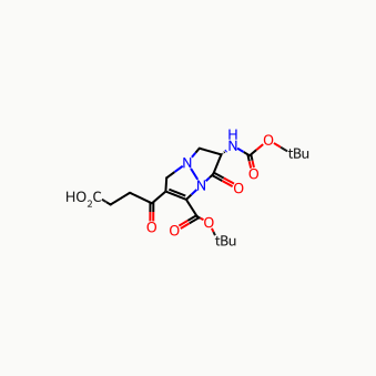 CC(C)(C)OC(=O)N[C@H]1CN2CC(C(=O)CCC(=O)O)=C(C(=O)OC(C)(C)C)N2C1=O